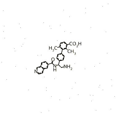 Cc1ccc(C(=O)O)c(C)c1-c1ccc(C(CN)NC(=O)c2ccc3cnccc3c2)cc1